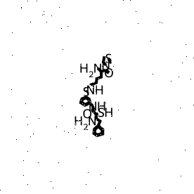 NC(CCCCNSc1cccc(NC(=O)C(S)C(N)Cc2ccccc2)c1)C(=O)N1CCSC1